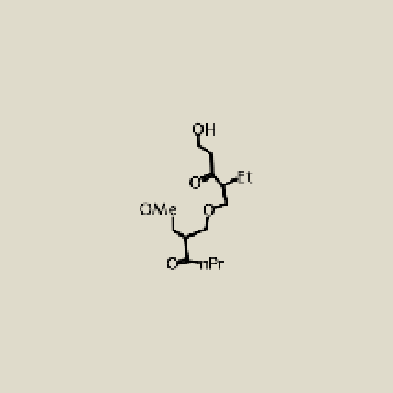 CCCC(=O)C(COC)COCC(CC)C(=O)CCO